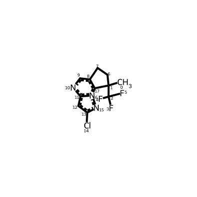 CC1(C(F)(F)F)CCc2cnc3cc(Cl)nn3c21